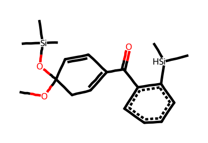 COC1(O[Si](C)(C)C)C=CC(C(=O)c2ccccc2[SiH](C)C)=CC1